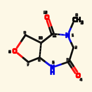 CN1CC(=O)NC2COCC2C1=O